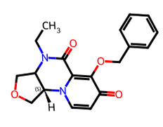 CCN1C(=O)c2c(OCc3ccccc3)c(=O)ccn2[C@@H]2COCC21